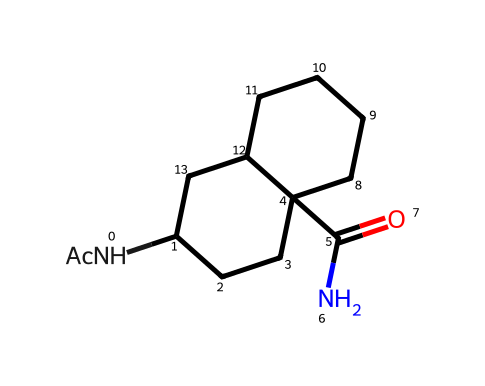 CC(=O)NC1CCC2(C(N)=O)CCCCC2C1